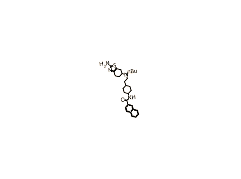 CCCCN(CCC1CCC(NC(=O)c2ccc3ccccc3c2)CC1)C1CCc2nc(N)sc2C1